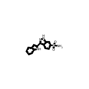 NS(=O)(=O)c1ccc2c(-c3cc4ccccc4[nH]3)n[nH]c2c1